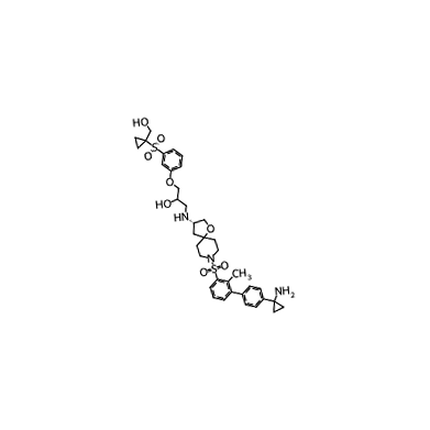 Cc1c(-c2ccc(C3(N)CC3)cc2)cccc1S(=O)(=O)N1CCC2(CC1)C[C@H](NCC(O)COc1cccc(S(=O)(=O)C3(CO)CC3)c1)CO2